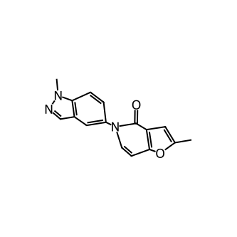 Cc1cc2c(=O)n(-c3ccc4c(cnn4C)c3)ccc2o1